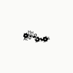 CC(=O)c1cccc(NC(=O)NCC(=O)N2CCC[C@H](CCc3ccc(F)cc3)C2)c1